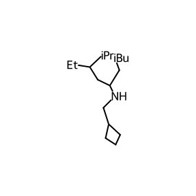 CCC(C)CC(CC(CC)C(C)C)NCC1CCC1